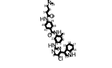 Cc1ccc(Nc2ncc(Cl)c(-c3c[nH]c4ccccc34)n2)cc1NC(=O)c1ccc(NC(=O)/C=C/CN(C)C)cc1